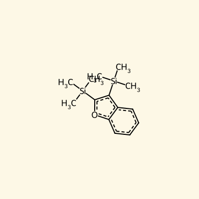 C[Si](C)(C)c1oc2ccccc2c1[Si](C)(C)C